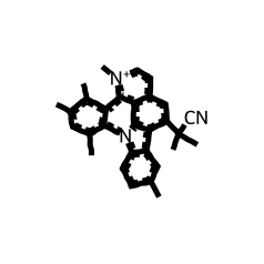 Cc1ccc2c(c1)c1c(C(C)(C)C#N)cc3cc[n+](C)c4c5c(C)c(C)cc(C)c5n2c1c34